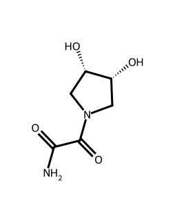 NC(=O)C(=O)N1C[C@@H](O)[C@@H](O)C1